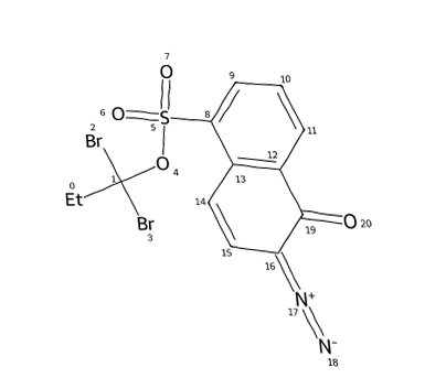 CCC(Br)(Br)OS(=O)(=O)c1cccc2c1C=CC(=[N+]=[N-])C2=O